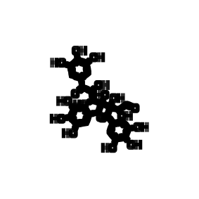 O=CC(O)C(O)(C(=O)c1cc(O)c(O)c(O)c1)C(O)(C(=O)c1cc(O)c(O)c(O)c1)C(O)C(O)C(=O)c1cc(O)c(O)c(O)c1